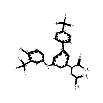 CC(=O)C(CC(C)C)c1cc(Nc2ccc(Cl)c(C(F)(F)F)c2)cc(-c2ccc(C(F)(F)F)cc2)c1